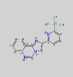 FC(F)(F)c1cccc(-c2nc3c4ccccc4ncn3n2)n1